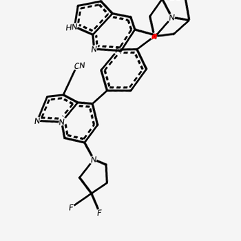 N#Cc1cnn2cc(N3CCC(F)(F)C3)cc(-c3ccc(N4CC5CC(C4)N5Cc4cnc5[nH]ccc5c4)nc3)c12